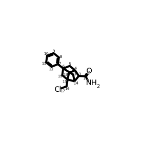 NC(=O)C1C2CC3(c4ccccc4)CC1C(CCl)(C2)C3